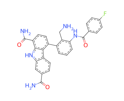 NCc1c(NC(=O)c2ccc(F)cc2)cccc1-c1ccc(C(N)=O)c2[nH]c3cc(C(N)=O)ccc3c12